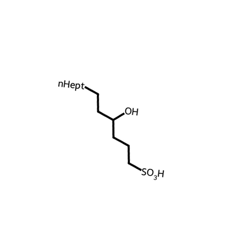 CCCCCCCCCC(O)CCCS(=O)(=O)O